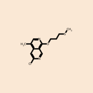 CSCCCOc1ncc(C)c2cc(Cl)ncc12